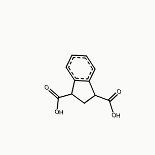 O=C(O)C1CC(C(=O)O)c2ccccc21